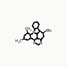 Cc1cc(C)c2c(c1)c1ncnc3cc(C(C)(C)C)c4c5ccccc5n2c4c31